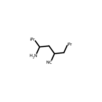 CC(C)CC(C#N)CC(N)C(C)C